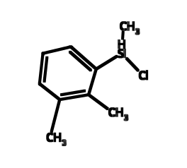 Cc1cccc([SiH](C)Cl)c1C